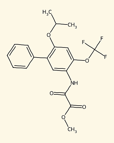 COC(=O)C(=O)Nc1cc(-c2ccccc2)c(OC(C)C)cc1OC(F)(F)F